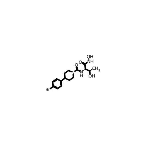 C[C@@H](O)[C@H](NC(=O)N1CCC(c2ccc(Br)cc2)CC1)C(=O)NO